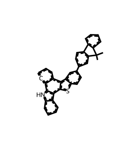 CC1(C)c2ccccc2-c2ccc(-c3ccc4sc5c(c4c3)c3ccccc3c3[nH]c4ccccc4c35)cc21